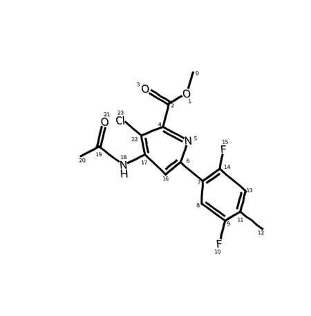 COC(=O)c1nc(-c2cc(F)c(C)cc2F)cc(NC(C)=O)c1Cl